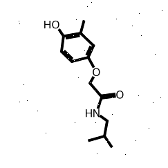 Cc1cc(OCC(=O)NCC(C)C)ccc1O